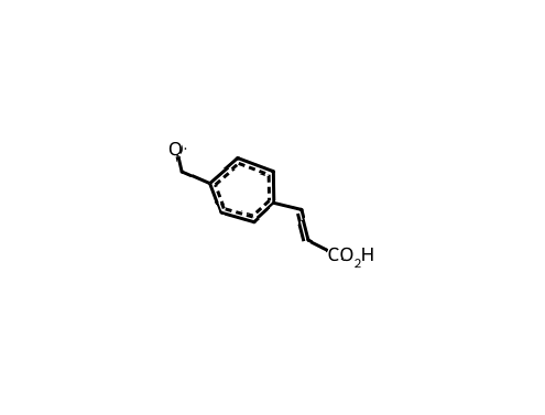 [O]Cc1ccc(/C=C/C(=O)O)cc1